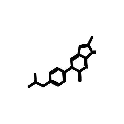 Cc1cc2cn(-c3ccc(CN(C)C)cc3)c(=O)nc2[nH]1